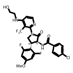 COc1cc(F)c([C@@H]2CN(c3nccc(NCCO)c3C(F)(F)F)C(=O)[C@H]2NC(=O)c2ccc(Cl)cc2)c(F)c1